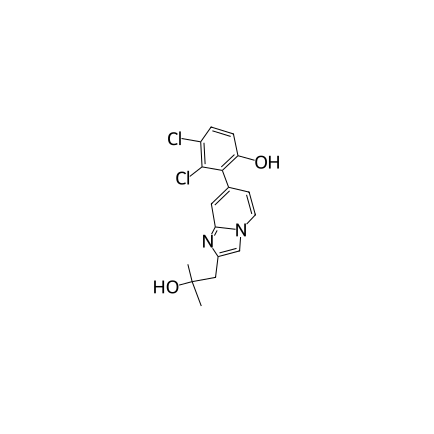 CC(C)(O)Cc1cn2ccc(-c3c(O)ccc(Cl)c3Cl)cc2n1